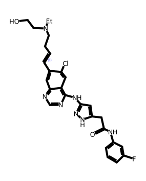 CCN(CCO)CC/C=C/c1cc2ncnc(Nc3cc(CC(=O)Nc4cccc(F)c4)[nH]n3)c2cc1Cl